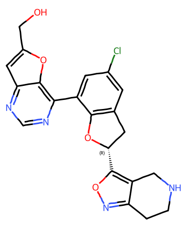 OCc1cc2ncnc(-c3cc(Cl)cc4c3O[C@@H](c3onc5c3CNCC5)C4)c2o1